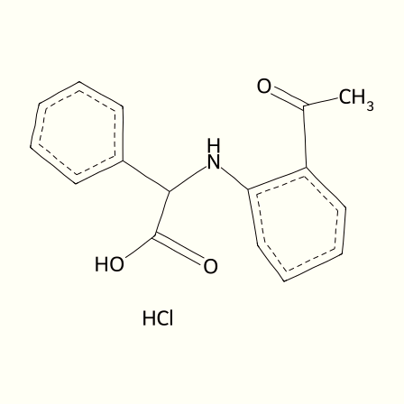 CC(=O)c1ccccc1NC(C(=O)O)c1ccccc1.Cl